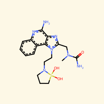 CN(Cc1nc2c(N)nc3ccccc3c2n1CCN1CCCS1(O)O)C(N)=O